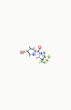 O=C(c1ccc(Br)cn1)N1CC(F)(F)C(F)(F)C1